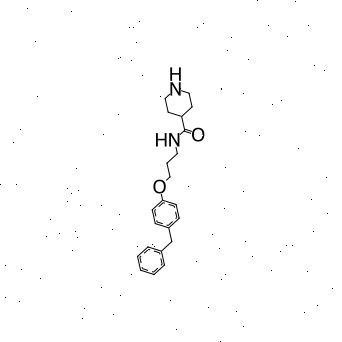 O=C(NCCCOc1ccc(Cc2ccccc2)cc1)C1CCNCC1